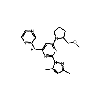 COCC1CCCN1c1cc(Nc2cnccn2)nc(-n2nc(C)cc2C)n1